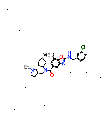 CCN1CCC(CN(C(=O)c2cc(OC)c3oc(NCc4cccc(Cl)c4)nc3c2)C2CCCC2)C1